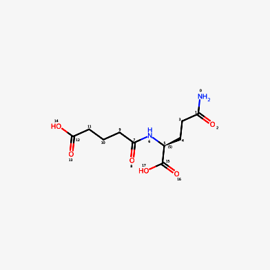 NC(=O)CC[C@H](NC(=O)CCCC(=O)O)C(=O)O